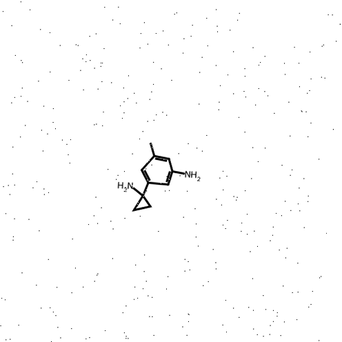 Cc1cc(N)cc(C2(N)CC2)c1